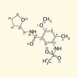 COc1cc(C)c(NS(C)(=O)=O)cc1C(=O)NCC1CCCO1